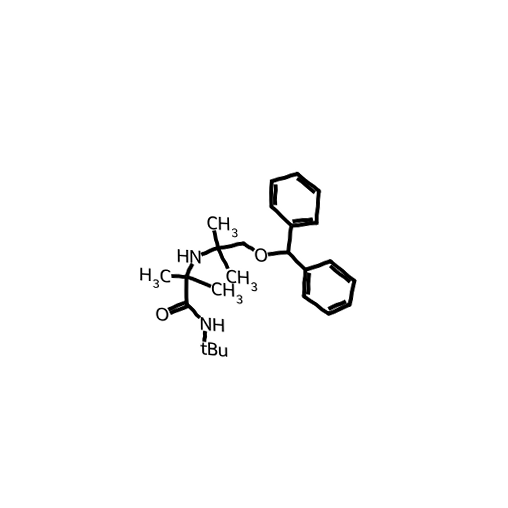 CC(C)(C)NC(=O)C(C)(C)NC(C)(C)COC(c1ccccc1)c1ccccc1